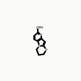 COc1ccc2c(cc3n2CCCO3)n1